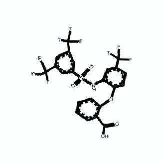 O=C(O)c1ccccc1Oc1ccc(C(F)(F)F)cc1NS(=O)(=O)c1cc(C(F)(F)F)cc(C(F)(F)F)c1